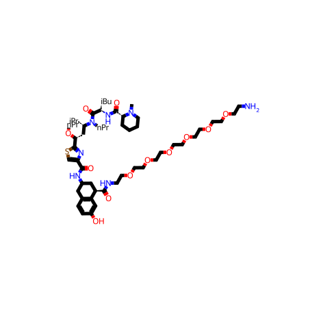 CCCO[C@H](C[C@H](C(C)C)N(CCC)C(=O)[C@@H](NC(=O)[C@H]1CCCCN1C)[C@@H](C)CC)c1nc(C(=O)NC2Cc3ccc(O)cc3[C@H](C(=O)NCCOCCOCCOCCOCCOCCOCCN)C2)cs1